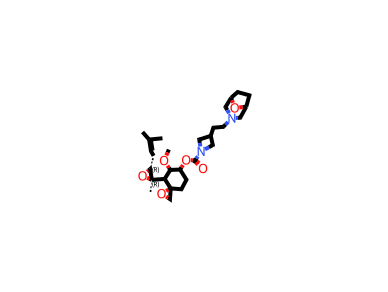 COC1C(OC(=O)N2CC(CCN3CC4CCC(C3)O4)C2)CCC2(CO2)C1[C@@]1(C)O[C@@H]1CC=C(C)C